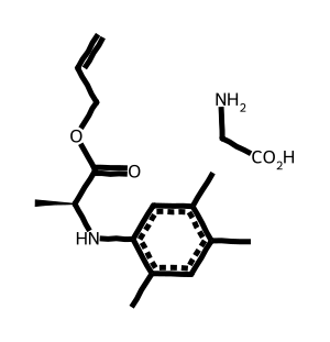 C=CCOC(=O)[C@H](C)Nc1cc(C)c(C)cc1C.NCC(=O)O